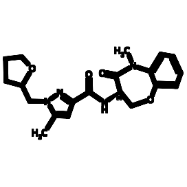 Cc1cc(C(=O)N[C@@H]2COc3ccccc3N(C)C2=O)nn1CC1CCCO1